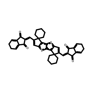 O=C1C(=CC2=Cc3sc4c5c(sc4c3C23CCCCC3)C=C(C=C2C(=O)C3=CCCC=C3C2=O)C52CCCCC2)C(=O)C2=CCCC=C12